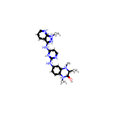 CC(C)N1c2cc(Nc3nccc(Nc4nn(C)c5ncccc45)n3)ccc2N(C)C(=O)C1C